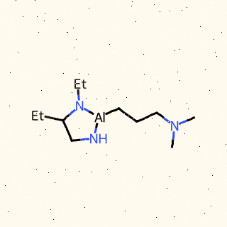 CCC1C[NH][Al]([CH2]CCN(C)C)[N]1CC